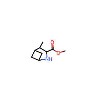 COC(=O)C1NC2CC(C2)C1C